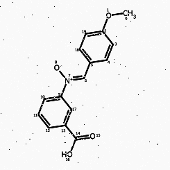 COc1ccc(C=[N+]([O-])c2cccc(C(=O)O)c2)cc1